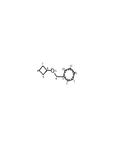 c1ccc(COC2CCC2)cc1